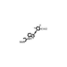 C=C/C(=C\NC)Nc1cccn2c(C#Cc3cc(C=O)c(F)cc3C)cnc12